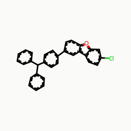 Clc1ccc2c(c1)oc1ccc(-c3ccc(C(c4ccccc4)c4ccccc4)cc3)cc12